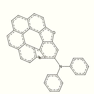 c1ccc(N(c2ccccc2)c2cc3oc4ccc5ccc6ccc7ccc8ccc2c2c8c7c6c5c4c32)cc1